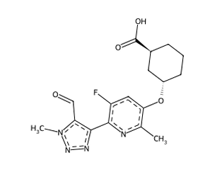 Cc1nc(-c2nnn(C)c2C=O)c(F)cc1O[C@H]1CCC[C@H](C(=O)O)C1